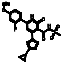 CCCCOc1ccc(-c2cc(-c3ncc(C4CC4)s3)c(C(=O)NS(C)(=O)=O)c(=O)[nH]2)c(F)c1